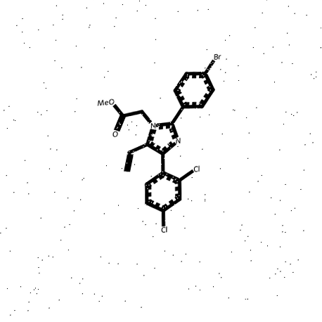 C=Cc1c(-c2ccc(Cl)cc2Cl)nc(-c2ccc(Br)cc2)n1CC(=O)OC